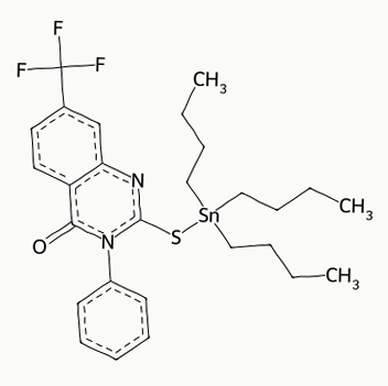 CCC[CH2][Sn]([CH2]CCC)([CH2]CCC)[S]c1nc2cc(C(F)(F)F)ccc2c(=O)n1-c1ccccc1